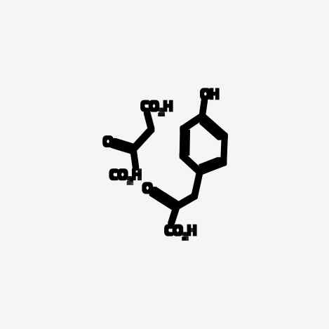 O=C(O)C(=O)Cc1ccc(O)cc1.O=C(O)CC(=O)C(=O)O